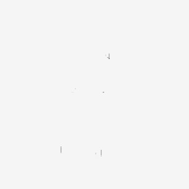 O=C(c1ccccn1)C1(c2ccc(F)c(C(F)(F)F)c2)CCC1